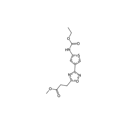 CCOC(=O)Nc1cc(-c2noc(CCC(=O)OC)n2)cs1